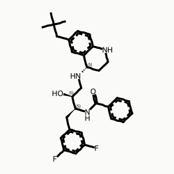 CC(C)(C)Cc1ccc2c(c1)[C@@H](NC[C@H](O)[C@H](Cc1cc(F)cc(F)c1)NC(=O)c1ccccc1)CCN2